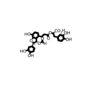 [2H]C(=O)O[C@H]1c2c(/C=C/C(=O)O[C@H](Cc3ccc(O)c(O)c3)C(=O)O)ccc(O)c2O[C@@H]1c1ccc(O)c(O)c1